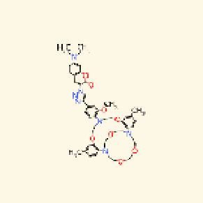 CCN(CC)c1ccc2cc(-n3cc(-c4ccc(N5CCOc6cc(C)ccc6N6CCOCCOCCN(CCOCC6)c6ccc(C)cc6OCC5)c(OC)c4)nn3)c(=O)oc2c1